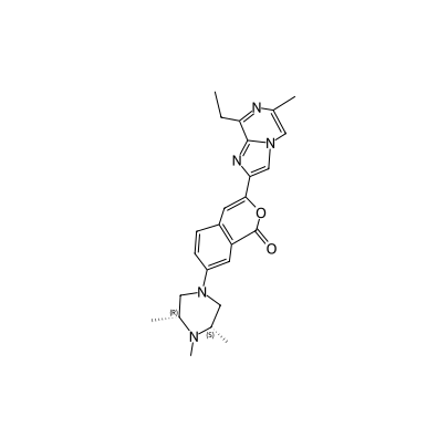 CCc1nc(C)cn2cc(-c3cc4ccc(N5C[C@@H](C)N(C)[C@@H](C)C5)cc4c(=O)o3)nc12